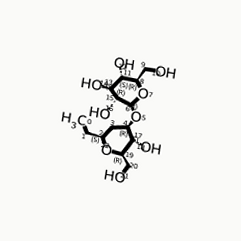 CC[C@H]1C[C@@H](O[C@@H]2O[C@H](CO)[C@@H](O)[C@H](O)[C@H]2O)[C@H](O)[C@@H](CO)O1